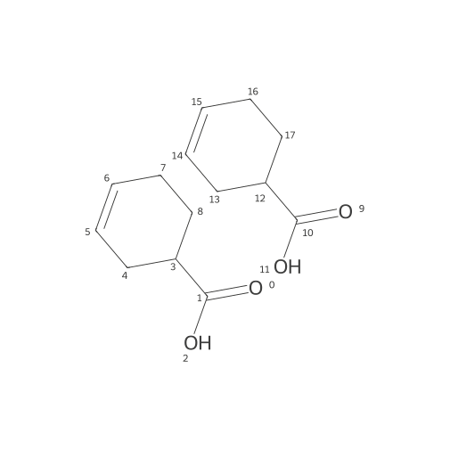 O=C(O)C1CC=CCC1.O=C(O)C1CC=CCC1